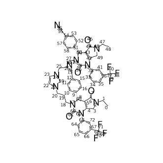 CCN1CC2=C(C1=O)[C@@H](c1ccc(C#N)cc1)N(CCCN1C=CN(CCCN3C(=O)N(c4cccc(C(F)(F)F)c4)C4=C(C(=O)N(CC)C4)[C@H]3c3ccc(C#N)cc3)C1)C(=O)N2c1cccc(C(F)(F)F)c1